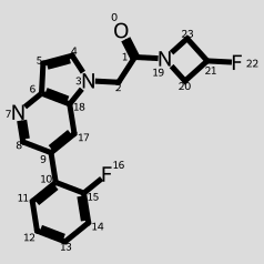 O=C(Cn1ccc2ncc(-c3ccccc3F)cc21)N1CC(F)C1